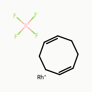 C1=C\CC/C=C\CC/1.F[B-](F)(F)F.[Rh+]